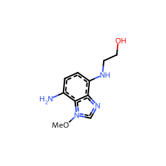 COn1cnc2c(NCCO)ccc(N)c21